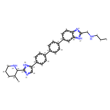 CCCNCc1nc2ccc(-c3ccc(-c4ccc(-c5cnc(C6NCCCC6C)[nH]5)cc4)cc3)cc2[nH]1